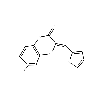 Nc1ccc2c(c1)SC(=Cc1ccc[nH]1)C(=O)N2